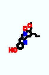 CCCc1cc2n(c(=O)c1COC)Cc1cc3cc(O)ccc3nc1-2